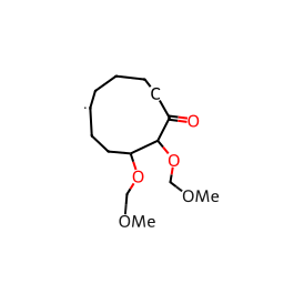 COCOC1CC[CH]CCCCC(=O)C1OCOC